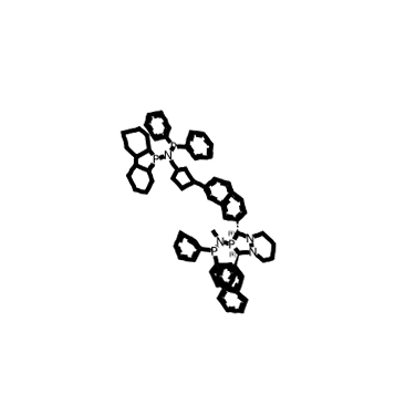 CN(P(c1ccccc1)c1ccccc1)P1[C@H](c2ccc3ccccc3c2)N2CCCCN2[C@H]1c1ccc2ccc(C3CCC(N(P(c4ccccc4)c4ccccc4)P4C5CCCCC5C5CCCCC54)C3)cc2c1